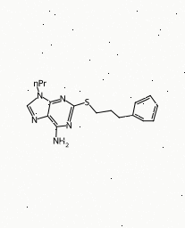 CCCn1cnc2c(N)nc(SCCCc3ccccc3)nc21